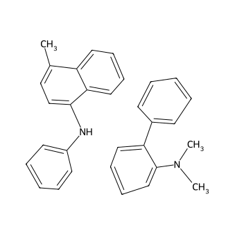 CN(C)c1ccccc1-c1ccccc1.Cc1ccc(Nc2ccccc2)c2ccccc12